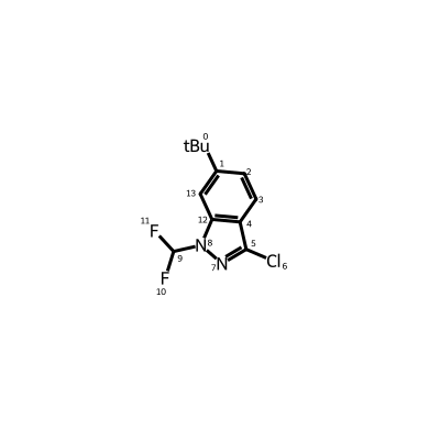 CC(C)(C)c1ccc2c(Cl)nn(C(F)F)c2c1